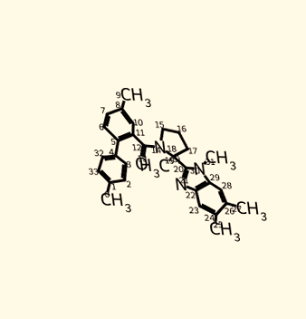 Cc1ccc(-c2ccc(C)cc2C(=O)N2CCC[C@@]2(C)c2nc3cc(C)c(C)cc3n2C)cc1